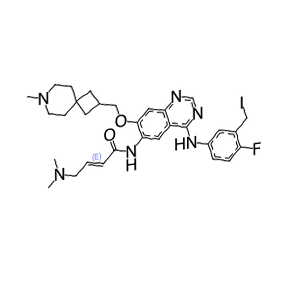 CN(C)C/C=C/C(=O)Nc1cc2c(Nc3ccc(F)c(CI)c3)ncnc2cc1OCC1CC2(CCN(C)CC2)C1